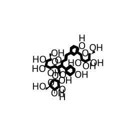 O=C(C=Cc1ccc(O)c(C2O[C@H](CO)[C@@H](O)[C@H](O)[C@H]2O)c1)C(=C(C(=O)OC1O[C@H](CO)[C@@H](O)[C@H](O)[C@H]1O)C1O[C@H](CO)[C@@H](O)[C@H](O)[C@H]1O)c1ccc(O)cc1